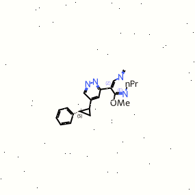 C=N/C=C(\C(=N/CCC)OC)c1cc(C2C[C@@H]2c2ccccc2)cnn1